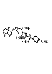 CC[Si](CC)(CC)O[C@H](CN(CC(C)C)S(=O)(=O)c1ccc(OC)cc1)[C@H](CO)NC(=O)O[C@H]1CO[C@H]2OCC[C@H]21